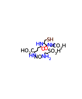 NCCS(=O)(=O)O.O=NNC(CCC(=O)NC(CS)C(=O)NCC(=O)O)C(=O)O